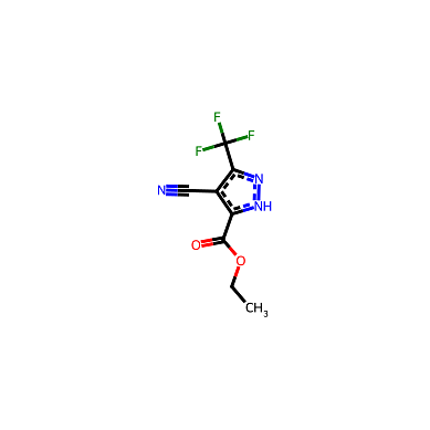 CCOC(=O)c1[nH]nc(C(F)(F)F)c1C#N